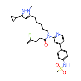 C=C(F)CCC(=O)N(CCCCCc1cc(C2CC2)nn1C)c1cc(-c2ccc(NS(C)(=O)=O)cc2)ccn1